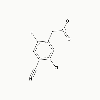 N#Cc1cc(F)c(C[N+](=O)[O-])cc1Cl